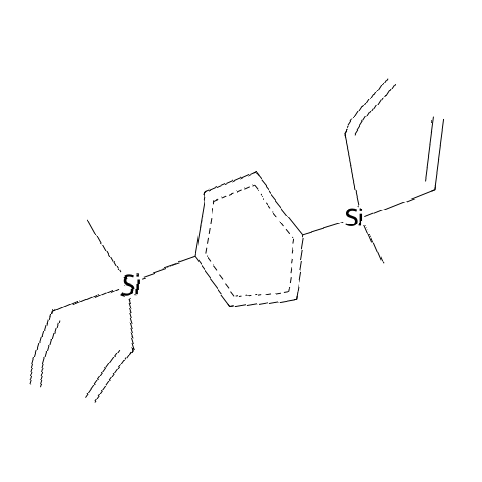 C=C[Si](C)(C=C)c1ccc([Si](C)(C=C)C=C)cc1